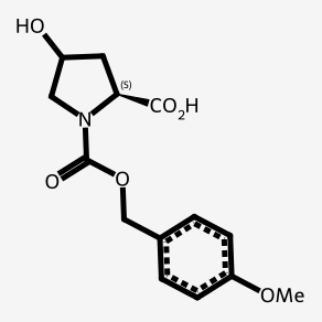 COc1ccc(COC(=O)N2CC(O)C[C@H]2C(=O)O)cc1